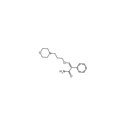 NC(=O)C(=COCCCN1CCOCC1)c1ccccc1